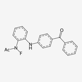 CC(=O)N(F)c1ccccc1Nc1ccc(C(=O)c2ccccc2)cc1